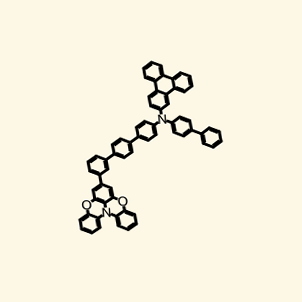 c1ccc(-c2ccc(N(c3ccc(-c4ccc(-c5cccc(-c6cc7c8c(c6)Oc6ccccc6N8c6ccccc6O7)c5)cc4)cc3)c3ccc4c5ccccc5c5ccccc5c4c3)cc2)cc1